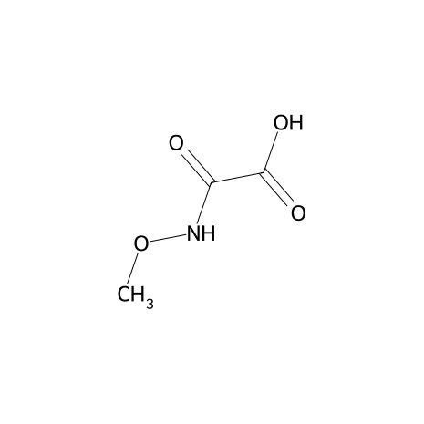 CONC(=O)C(=O)O